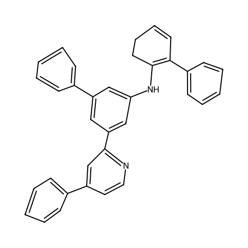 C1=CC(c2ccccc2)=C(Nc2cc(-c3ccccc3)cc(-c3cc(-c4ccccc4)ccn3)c2)CC1